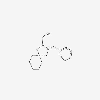 OCC1CC2(CCCCC2)CN1Cc1ccccc1